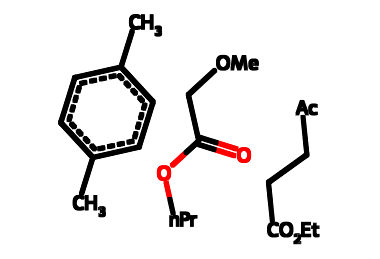 CCCOC(=O)COC.CCOC(=O)CCC(C)=O.Cc1ccc(C)cc1